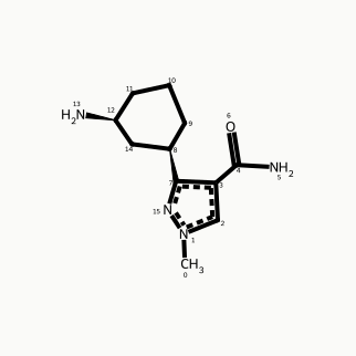 Cn1cc(C(N)=O)c([C@@H]2CCC[C@H](N)C2)n1